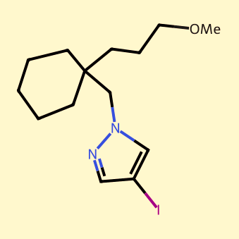 COCCCC1(Cn2cc(I)cn2)CCCCC1